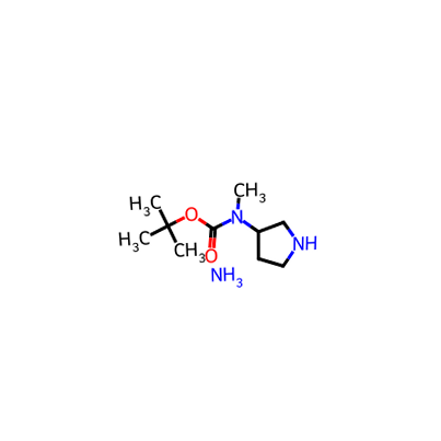 CN(C(=O)OC(C)(C)C)C1CCNC1.N